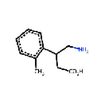 Cc1ccccc1C(CN)CC(=O)O